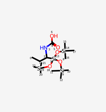 CCC(NC(=O)O)[Si](O[Si](C)(C)C)(O[Si](C)(C)C)O[Si](C)(C)C